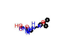 O=C(O)CNC(=O)c1nnc2ccc(NCCCN3CCC(OC(c4ccccc4)c4ccccc4)CC3)nn12